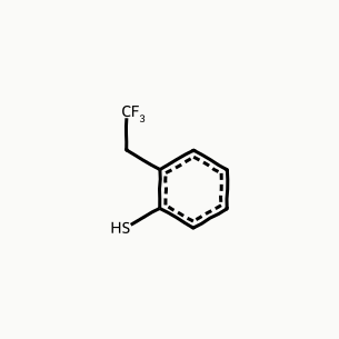 FC(F)(F)Cc1ccccc1S